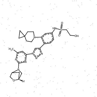 Cc1cc(-n2cc(-c3ccc(NS(=O)(=O)CCO)cc3N3CCC4(CC3)CC4)nn2)nc(N2C[C@H]3CC2CO3)n1